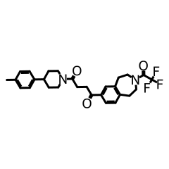 Cc1ccc(C2CCN(C(=O)CCC(=O)c3ccc4c(c3)CCN(C(=O)C(F)(F)F)CC4)CC2)cc1